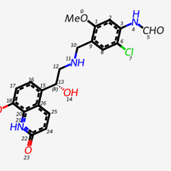 COc1cc(NC=O)c(Cl)cc1CNC[C@H](O)c1ccc(O)c2[nH]c(=O)ccc12